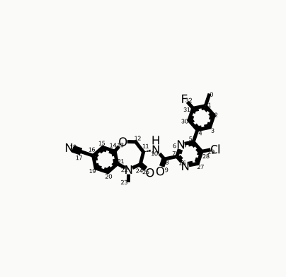 Cc1ccc(-c2nc(C(=O)N[C@H]3COc4cc(C#N)ccc4N(C)C3=O)ncc2Cl)cc1F